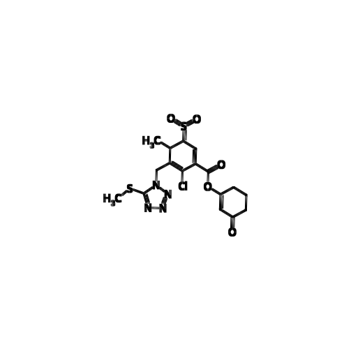 CSc1nnnn1CC1=C(Cl)C(C(=O)OC2=CC(=O)CCC2)=CC(=S(=O)=O)C1C